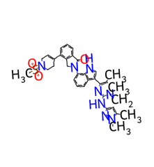 C=N/C(=N\C(=C(C)C)c1c[nH]c2c(N3Cc4c(cccc4C4=CCN(S(C)(=O)=O)CC4)C3=O)cccc12)Nc1cc(C)n(C)n1